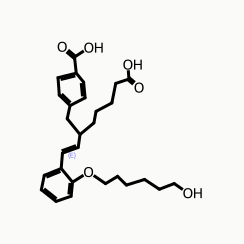 O=C(O)CCCCC(/C=C/c1ccccc1OCCCCCCO)Cc1ccc(C(=O)O)cc1